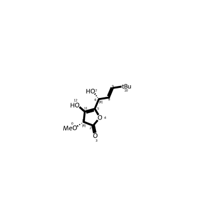 CO[C@H]1C(=O)OC([C@H](O)C=CC(C)(C)C)=C1O